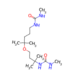 CNC(=O)NCCCC(C)(C)OCCC(C)(C)NC(=O)NC